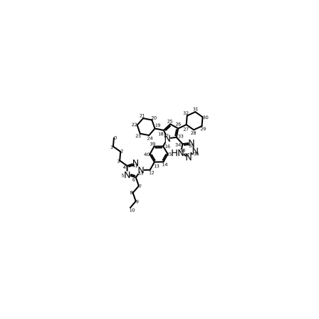 CCCCc1nc(CCCC)n(Cc2ccc(-n3c(C4CCCCC4)cc(C4CCCCC4)c3-c3nnn[nH]3)cc2)n1